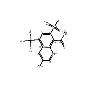 CS(=O)(=O)c1cc(C(F)(F)F)c2cc(Cl)cnc2c1C(=O)O